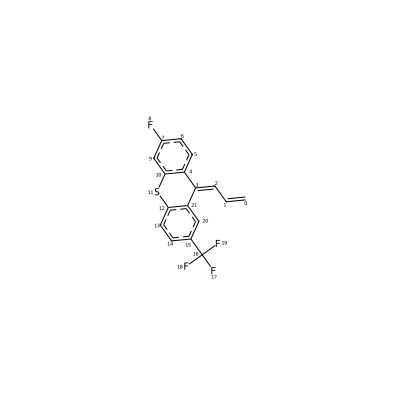 C=CC=C1c2ccc(F)cc2Sc2ccc(C(F)(F)F)cc21